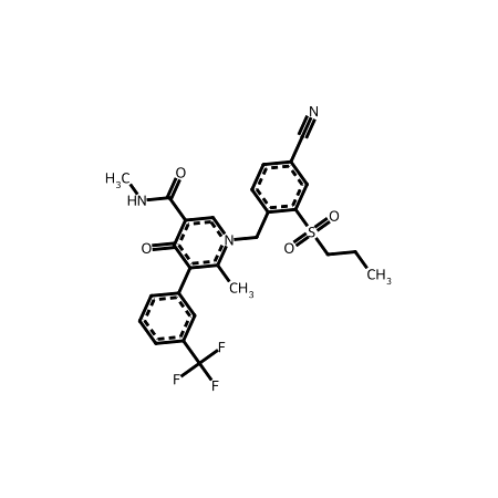 CCCS(=O)(=O)c1cc(C#N)ccc1Cn1cc(C(=O)NC)c(=O)c(-c2cccc(C(F)(F)F)c2)c1C